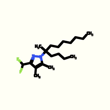 CCCCCCCC(C)(CCCC)n1nc(C(F)F)c(C)c1C